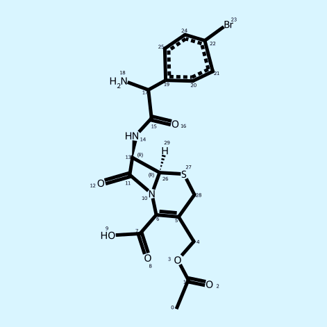 CC(=O)OCC1=C(C(=O)O)N2C(=O)[C@@H](NC(=O)C(N)c3ccc(Br)cc3)[C@H]2SC1